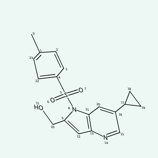 Cc1ccc(S(=O)(=O)n2c(CO)cc3ncc(C4CC4)cc32)cc1